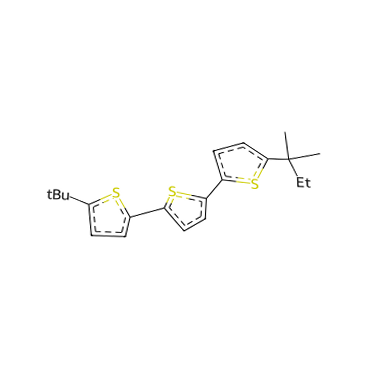 CCC(C)(C)c1ccc(-c2ccc(-c3ccc(C(C)(C)C)s3)s2)s1